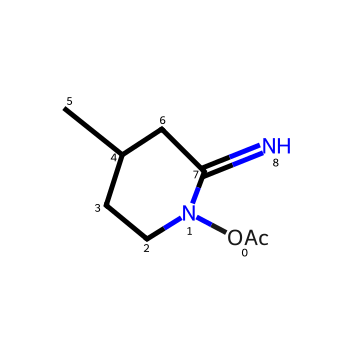 CC(=O)ON1CCC(C)CC1=N